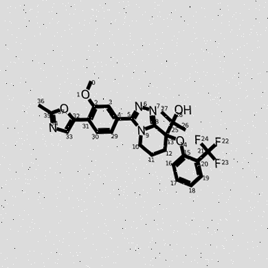 COc1cc(-c2nnc3n2CCCC3(Oc2ccccc2C(F)(F)F)C(C)(C)O)ccc1-c1cnc(C)o1